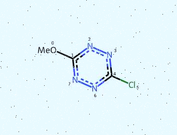 COc1nnc(Cl)nn1